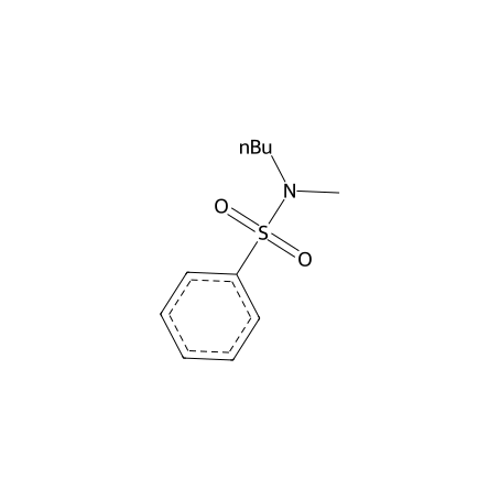 CCCCN(C)S(=O)(=O)c1ccccc1